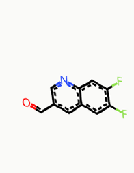 O=Cc1cnc2cc(F)c(F)cc2c1